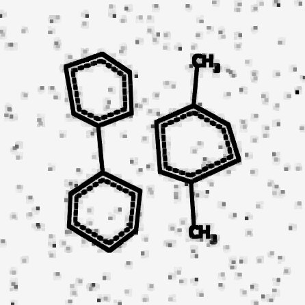 Cc1ccc(C)cc1.c1ccc(-c2ccccc2)cc1